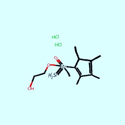 CC1=C(C)C(C)[C]([Zr]([CH3])(=[O])(=[SiH2])[O]CCO)=C1C.Cl.Cl